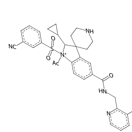 CC(=O)[N+]1(S(=O)(=O)c2cccc(C#N)c2)c2ccc(C(=O)NCc3ncccc3Cl)cc2C2(CCNCC2)C1C1CC1